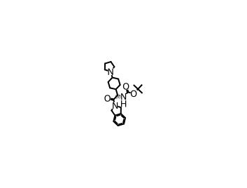 CC(C)(C)OC(=O)N[C@H](C(=O)N1Cc2ccccc2C1)C1CCC(N2CCCC2)CC1